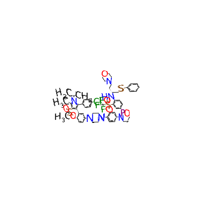 Cc1c(S(C)(=O)=O)c(-c2cccc(N3CCN(c4ccc(N5CCCO[P@@]5c5ccc(N[C@H](CCN6CCOCC6)CSc6ccccc6)c(S(=O)(=O)C(F)(F)F)c5)cc4)CC3)c2)c(-c2ccc(Cl)cc2)n1C(C)C